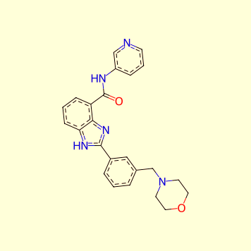 O=C(Nc1cccnc1)c1cccc2[nH]c(-c3cccc(CN4CCOCC4)c3)nc12